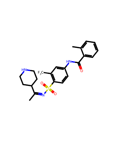 C/C(=N/S(=O)(=O)c1ccc(NC(=O)c2ccccc2C)cc1C(F)(F)F)C1CCNCC1